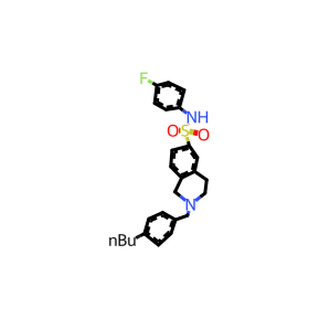 CCCCc1ccc(CN2CCc3cc(S(=O)(=O)Nc4ccc(F)cc4)ccc3C2)cc1